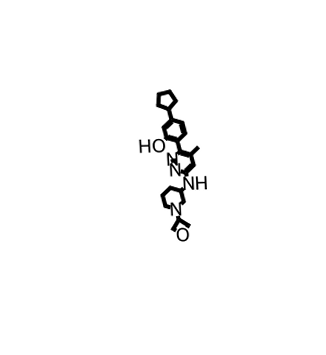 Cc1cc(NC2CCCN(C3COC3)C2)nnc1-c1ccc(C2CCCC2)cc1O